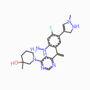 C=C(c1cc(N2CCCC(C)(O)C2)ncn1)c1cc(C2=CN(C)NC2)c(F)cc1NN